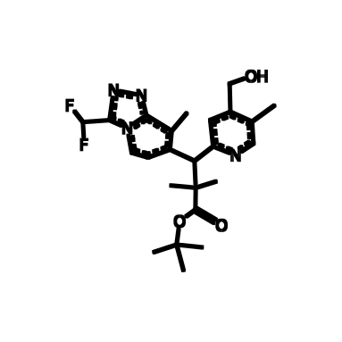 Cc1cnc(C(c2ccn3c(C(F)F)nnc3c2C)C(C)(C)C(=O)OC(C)(C)C)cc1CO